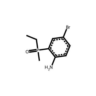 CCP(C)(=O)c1cc(Br)ccc1N